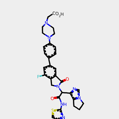 O=C(O)CN1CCN(c2ccc(-c3cc(F)c4c(c3)C(=O)N(C(C(=O)Nc3nccs3)c3ncn5c3CCC5)C4)cc2)CC1